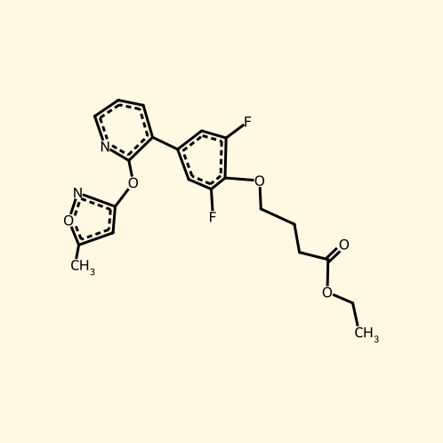 CCOC(=O)CCCOc1c(F)cc(-c2cccnc2Oc2cc(C)on2)cc1F